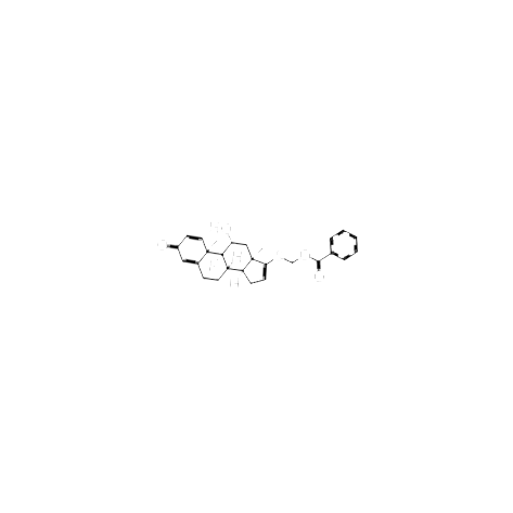 C[C@]12C=CC(=O)C=C1CC[C@H]1[C@@H]3CC=C(SCOC(=O)c4ccccc4)[C@@]3(C)C[C@H](O)[C@@]12F